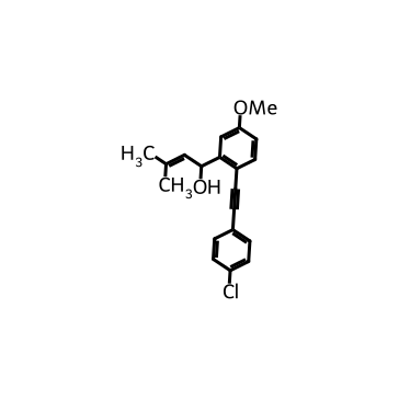 COc1ccc(C#Cc2ccc(Cl)cc2)c(C(O)C=C(C)C)c1